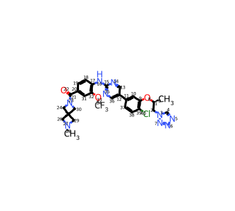 C[C@@H](Cn1cnnn1)Oc1cc(-c2cnc(Nc3ccc(C(=O)N4CC5(CN(C)C5)C4)cc3OC(F)(F)F)nc2)ccc1Cl